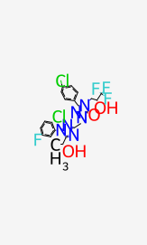 CC(O)c1nc(Cn2nc(-c3ccc(Cl)cc3)n(CC(O)C(F)(F)F)c2=O)nn1-c1cc(F)ccc1Cl